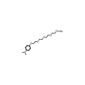 CCCCOCCOCCOCCOCCOc1ccc(N(C)C)cc1